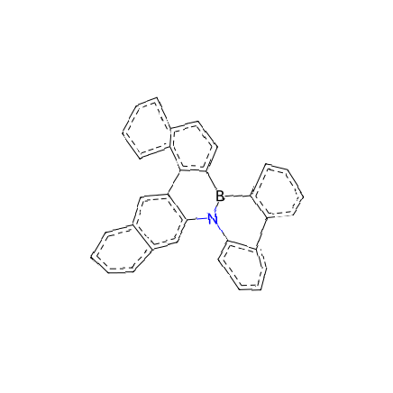 c1ccc2c(c1)B1c3ccc4ccccc4c3-c3cc4ccccc4cc3N1c1ccccc1-2